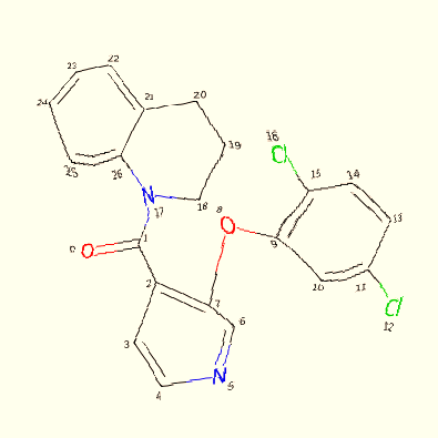 O=C(c1ccncc1Oc1cc(Cl)ccc1Cl)N1CCCc2ccccc21